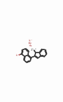 Brc1cccc2c(C3=Cc4ccccc4[CH]3[Zr+3])cccc12.[Br-].[Br-].[Br-]